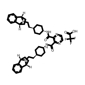 O=C(N[C@H]1CC[C@H](CCN2[C@@H]3CC[C@H]2c2ccccc23)CC1)c1nccnc1C(=O)N[C@H]1CC[C@H](CCN2[C@@H]3CC[C@H]2c2ccccc23)CC1.O=C(O)C(F)(F)F